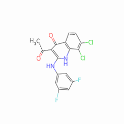 CC(=O)c1c(Nc2cc(F)cc(F)c2)[nH]c2c(Cl)c(Cl)ccc2c1=O